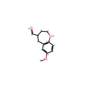 COc1ccc2c(c1)CC(C=O)CCO2